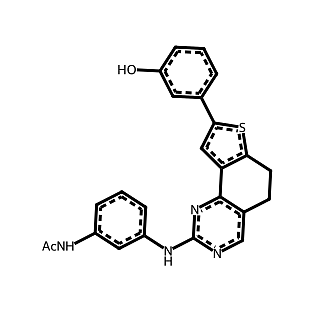 CC(=O)Nc1cccc(Nc2ncc3c(n2)-c2cc(-c4cccc(O)c4)sc2CC3)c1